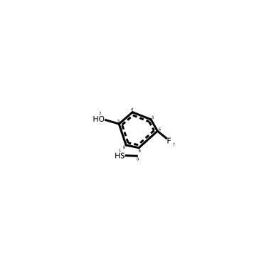 CS.Oc1ccc(F)cc1